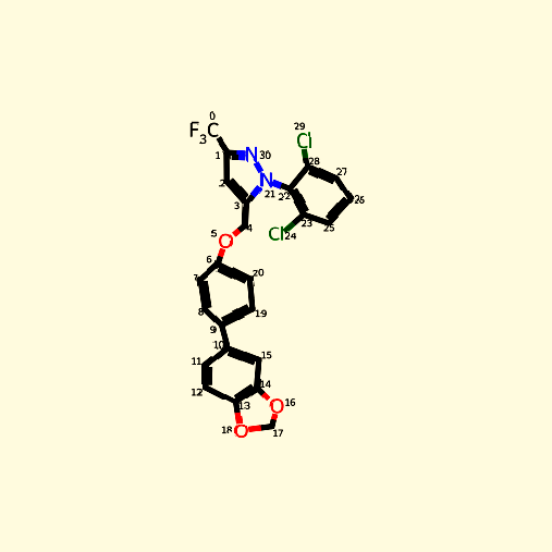 FC(F)(F)c1cc(COc2ccc(-c3ccc4c(c3)OCO4)cc2)n(-c2c(Cl)cccc2Cl)n1